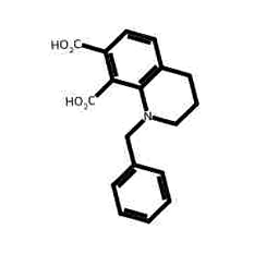 O=C(O)c1ccc2c(c1C(=O)O)N(Cc1ccccc1)CCC2